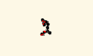 c1ccc(-c2cc(-c3ccc(-c4ccc5oc6ccc7c(-c8ccccc8)nc8ccccc8c7c6c5c4)cc3)nc(-c3ccc4c(c3)sc3ccccc34)n2)cc1